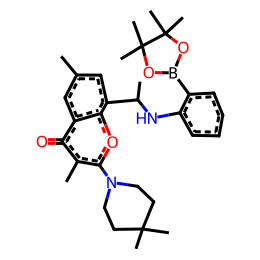 Cc1cc(C(C)Nc2ccccc2B2OC(C)(C)C(C)(C)O2)c2oc(N3CCC(C)(C)CC3)c(C)c(=O)c2c1